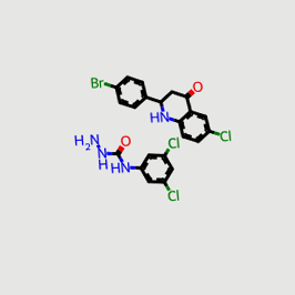 NNC(=O)Nc1cc(Cl)cc(Cl)c1.O=C1CC(c2ccc(Br)cc2)Nc2ccc(Cl)cc21